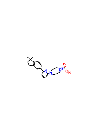 CC1(C)CCc2cc(-c3cccc(N4CCN(C(=O)O)CC4)n3)ccc21